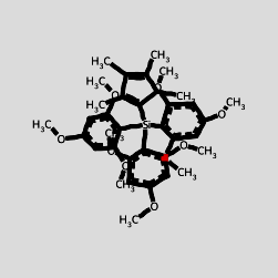 COc1cc(OC)c([Si](C2=C(C)C(C)=C(C)C2C)(c2c(OC)cc(OC)cc2OC)c2c(OC)cc(OC)cc2OC)c(OC)c1